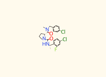 C[C@H](NC(=O)N1CCC[C@@H]1C(=O)N(C)Cc1ccc(Cl)cc1)c1ccc(Cl)cc1F